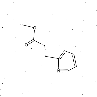 [CH2]OC(=O)CCc1ccccn1